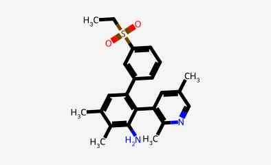 CCS(=O)(=O)c1cccc(-c2cc(C)c(C)c(N)c2-c2cc(C)cnc2C)c1